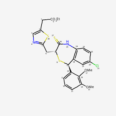 CCOC(=O)Cc1cnc(C[C@H]2S[C@H](c3cccc(OC)c3OC)c3cc(Cl)ccc3NC2=S)s1